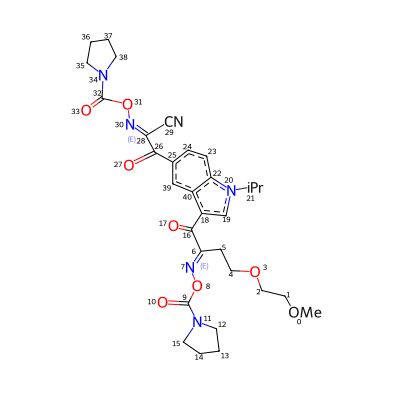 COCCOCC/C(=N\OC(=O)N1CCCC1)C(=O)c1cn(C(C)C)c2ccc(C(=O)/C(C#N)=N/OC(=O)N3CCCC3)cc12